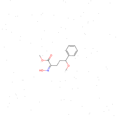 COC(=O)/C(CCC(OC)c1ccccc1)=N\O